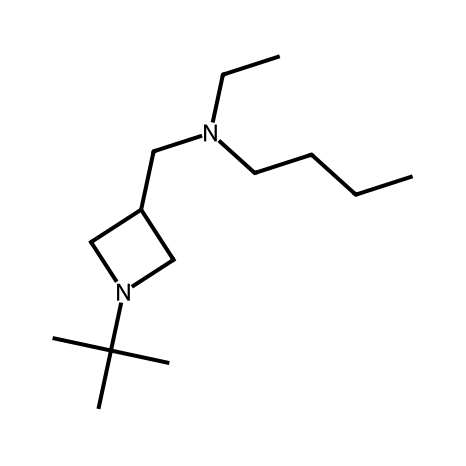 CCCCN(CC)CC1CN(C(C)(C)C)C1